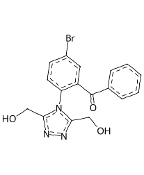 O=C(c1ccccc1)c1cc(Br)ccc1-n1c(CO)nnc1CO